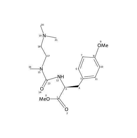 COC(=O)[C@H](Cc1ccc(OC)cc1)NC(=O)N(C)CCN(C)C